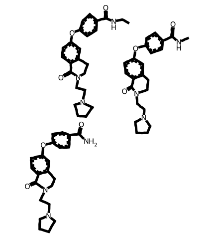 CCNC(=O)c1ccc(Oc2ccc3c(c2)CCN(CCN2CCCC2)C3=O)cc1.CNC(=O)c1ccc(Oc2ccc3c(c2)CCN(CCN2CCCC2)C3=O)cc1.NC(=O)c1ccc(Oc2ccc3c(c2)CCN(CCN2CCCC2)C3=O)cc1